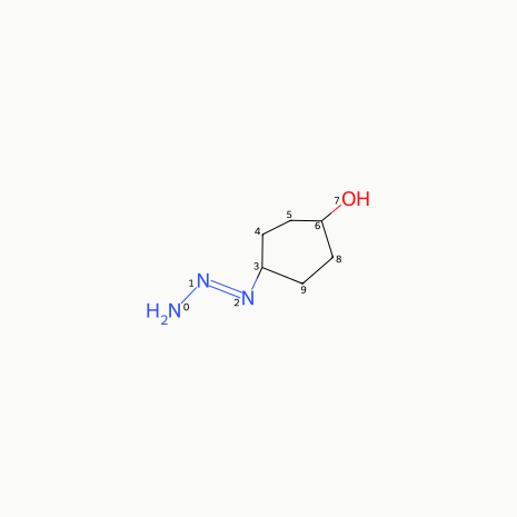 NN=NC1CCC(O)CC1